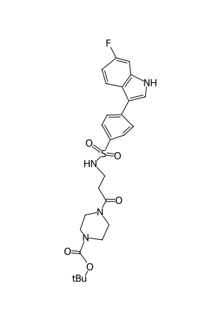 CC(C)(C)OC(=O)N1CCN(C(=O)CCNS(=O)(=O)c2ccc(-c3c[nH]c4cc(F)ccc34)cc2)CC1